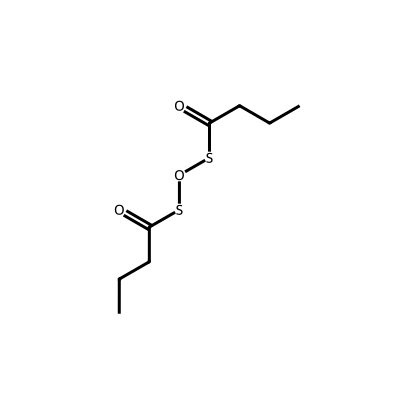 CCCC(=O)SOSC(=O)CCC